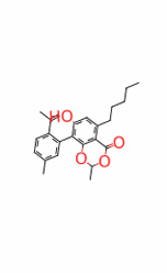 C=C(C)c1ccc(C)cc1-c1c(O)cc(CCCCC)c2c1OC(C)OC2=O